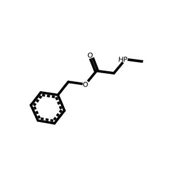 CPCC(=O)OCc1ccccc1